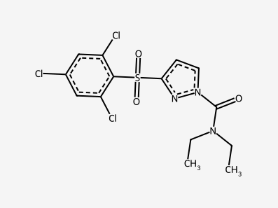 CCN(CC)C(=O)n1ccc(S(=O)(=O)c2c(Cl)cc(Cl)cc2Cl)n1